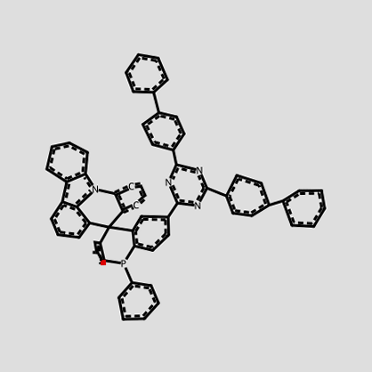 c1ccc(-c2ccc(-c3nc(-c4ccc(-c5ccccc5)cc4)nc(-c4ccc5c(c4)C4(c6ccccc6-n6c7ccccc7c7cccc4c76)c4ccccc4P5c4ccccc4)n3)cc2)cc1